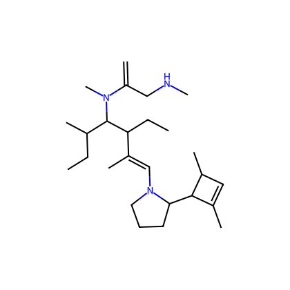 C=C(CNC)N(C)C(C(C)CC)C(CC)/C(C)=C/N1CCCC1C1C(C)=CC1C